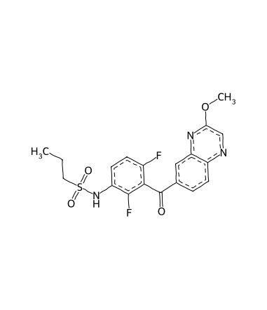 CCCS(=O)(=O)Nc1ccc(F)c(C(=O)c2ccc3ncc(OC)nc3c2)c1F